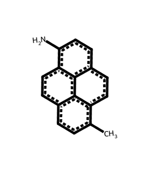 Cc1ccc2ccc3c(N)ccc4ccc1c2c43